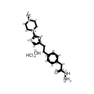 CC(=O)N1CCN(c2nc(CCc3ccc(CC(=O)NN)cc3)cs2)CC1.Cl.Cl